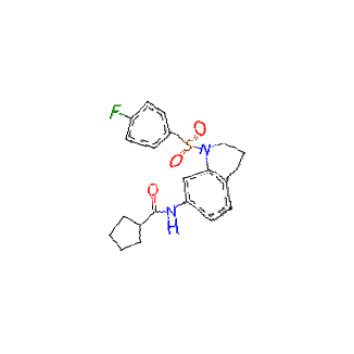 O=C(Nc1ccc2c(c1)N(S(=O)(=O)c1ccc(F)cc1)CCC2)C1CCCC1